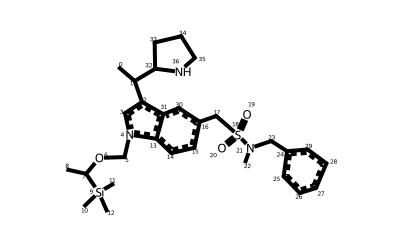 CC(c1cn(COC(C)[Si](C)(C)C)c2ccc(CS(=O)(=O)N(C)Cc3ccccc3)cc12)C1CCCN1